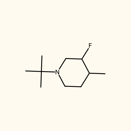 CC1CCN(C(C)(C)C)CC1F